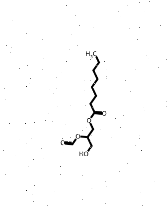 CCCCCCCC(=O)OCC(CO)OC=O